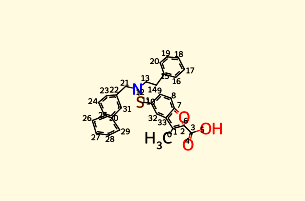 Cc1c(C(=O)O)oc2ccc(SN(CCc3ccccc3)Cc3ccc4ccccc4c3)cc12